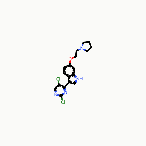 Clc1ncc(Cl)c(-c2c[nH]c3cc(OCCN4CCCC4)ccc23)n1